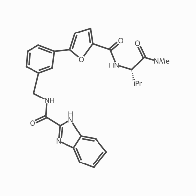 CNC(=O)[C@@H](NC(=O)c1ccc(-c2cccc(CNC(=O)c3nc4ccccc4[nH]3)c2)o1)C(C)C